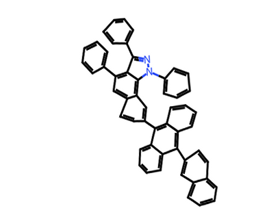 c1ccc(-c2cc3ccc(-c4c5ccccc5c(-c5ccc6ccccc6c5)c5ccccc45)cc3c3c2c(-c2ccccc2)nn3-c2ccccc2)cc1